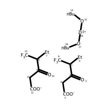 CCC(C(=O)CC(=O)[O-])C(F)(F)F.CCC(C(=O)CC(=O)[O-])C(F)(F)F.CCCC[O][Zr+2][O]CCCC